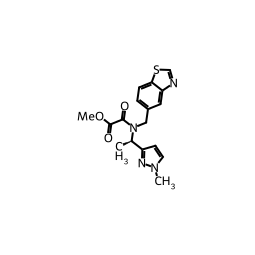 COC(=O)C(=O)N(Cc1ccc2scnc2c1)[C@H](C)c1ccn(C)n1